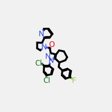 O=C(c1nn(-c2ccc(Cl)cc2Cl)c2c1CCCCC2Cc1ccc(F)cc1)N1CCCC1c1ccccn1